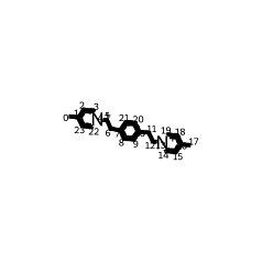 Cc1cc[n+](CCc2ccc(CC[n+]3ccc(C)cc3)cc2)cc1